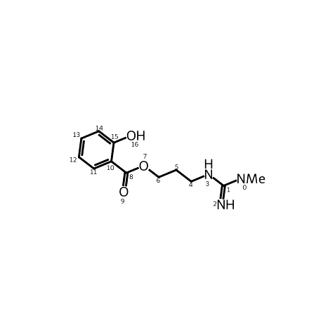 CNC(=N)NCCCOC(=O)c1ccccc1O